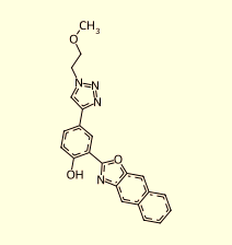 COCCn1cc(-c2ccc(O)c(-c3nc4cc5ccccc5cc4o3)c2)nn1